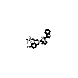 CNS(=O)(=O)CCCN(Cc1ccc(Cl)cc1)C(=O)C1(C)CCN1C(=O)c1csc2ccccc12